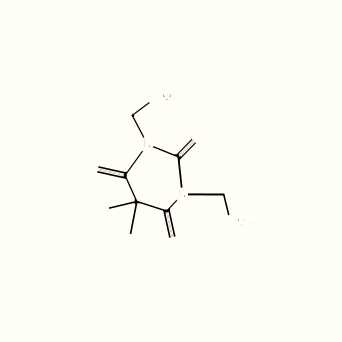 CCC1(CC)C(=O)N(COC)C(=O)N(COC)C1=O